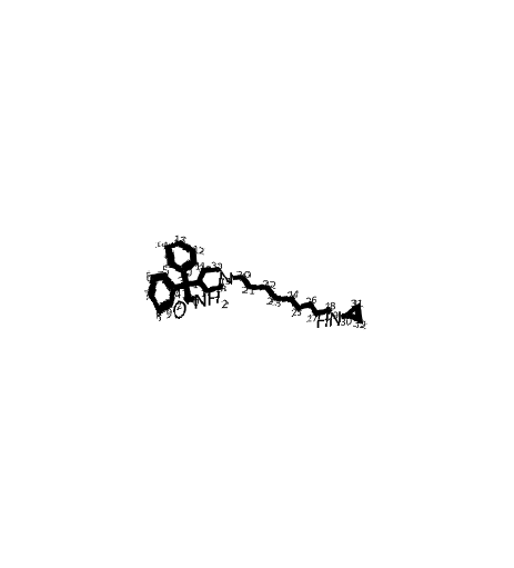 NC(=O)C(c1ccccc1)(c1ccccc1)C1CCN(CCCCCCCCCNC2CC2)CC1